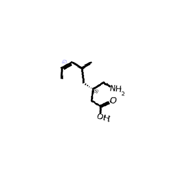 C/C=C\C(C)C[C@H](CN)CC(=O)O